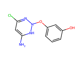 NC1=CC(Cl)=NN(Oc2cccc(O)c2)N1